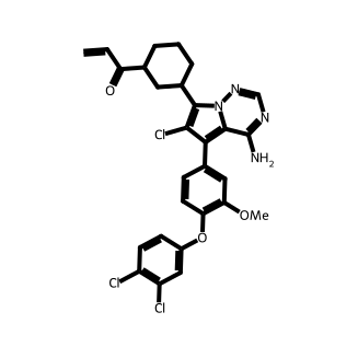 C=CC(=O)C1CCCC(c2c(Cl)c(-c3ccc(Oc4ccc(Cl)c(Cl)c4)c(OC)c3)c3c(N)ncnn23)C1